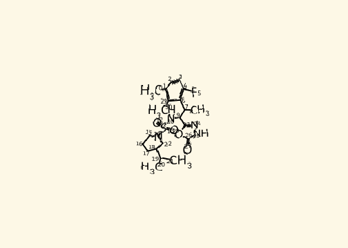 Cc1ccc(F)c(C(C)[C@H](NS(=O)(=O)N2CCCC(C(C)C)C2)c2n[nH]c(=O)o2)c1C